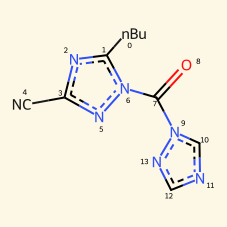 CCCCc1nc(C#N)nn1C(=O)n1cncn1